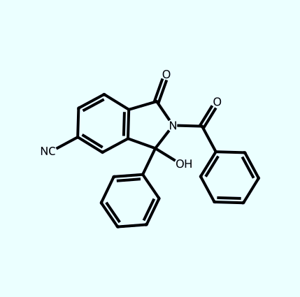 N#Cc1ccc2c(c1)C(O)(c1ccccc1)N(C(=O)c1ccccc1)C2=O